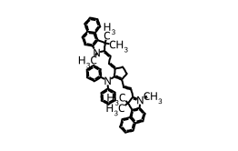 CN1C(=CC=C2CCC(C=CC3=[N+](C)c4ccc5ccccc5c4C3(C)C)=C2N(c2ccccc2)c2ccccc2)C(C)(C)c2c1ccc1ccccc21